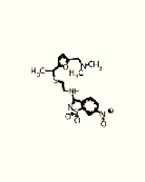 CC(SCCNC1=NS(=O)(=O)c2cc([N+](=O)[O-])ccc21)c1ccc(CN(C)C)o1